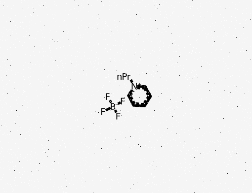 CCC[n+]1ccccc1.F[B-](F)(F)F